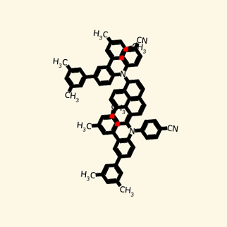 Cc1cc(C)cc(-c2ccc(N(C3=C4C=CC5=C6C(=CC=C(C=C3)C46)C(N(c3ccc(C#N)cc3)c3ccc(-c4cc(C)cc(C)c4)cc3-c3cc(C)cc(C)c3)C=C5)c3ccc(C#N)cc3)c(-c3cc(C)cc(C)c3)c2)c1